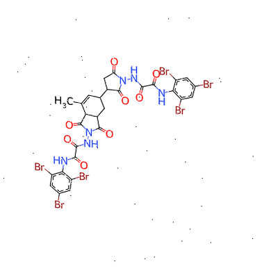 CC1=CC(C2CC(=O)N(NC(=O)C(=O)Nc3c(Br)cc(Br)cc3Br)C2=O)CC2C(=O)N(NC(=O)C(=O)Nc3c(Br)cc(Br)cc3Br)C(=O)C12